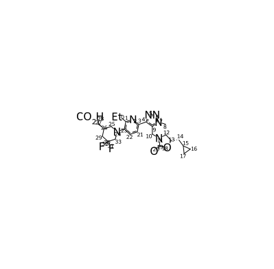 CCc1nc(-c2nnn(C)c2CN2C[C@H](CC3CC3)OC2=O)ccc1N1C[C@H](CC(=O)O)CC(F)(F)C1